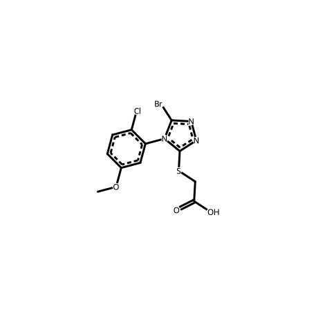 COc1ccc(Cl)c(-n2c(Br)nnc2SCC(=O)O)c1